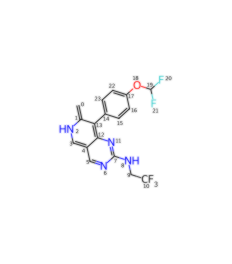 C=C1NC=c2cnc(NCC(F)(F)F)nc2=C1c1ccc(OC(F)F)cc1